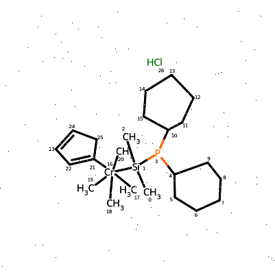 C[Si](C)(P(C1CCCCC1)C1CCCCC1)[Cr]([CH3])([CH3])([CH3])([CH3])[C]1=CC=CC1.Cl